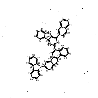 c1ccc2cc(-c3nc(-c4cc5c6cc(-n7c8ccccc8c8ccccc87)ccc6oc5c5ccccc45)nc4c3oc3ccccc34)ccc2c1